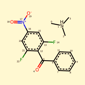 C[SiH](C)C.O=C(c1ccccc1)c1c(F)cc([N+](=O)[O-])cc1F